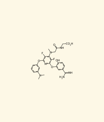 CN(C)c1cccc(Oc2nc(Oc3cc(C(=N)N)ccc3O)c(F)c(N(C)CC(=O)NCC(=O)O)c2F)c1